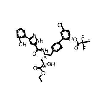 CCOC(=O)[C@H](O)C[C@@H](Cc1ccc(-c2cccc(Cl)c2)cc1)NC(=O)c1cc(-c2ccccc2O)n[nH]1.O=C(O)C(F)(F)F